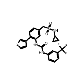 O=C(Nc1cccc(C(F)(F)F)c1)Nc1cc(CS(=O)(=O)NC2CC2)ccc1-c1ccsc1